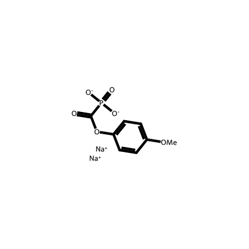 COc1ccc(OC(=O)P(=O)([O-])[O-])cc1.[Na+].[Na+]